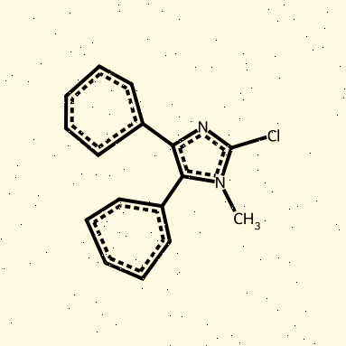 Cn1c(Cl)nc(-c2ccccc2)c1-c1ccccc1